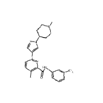 Cc1ccc(-c2cnn(C3CCN(C)CC3)c2)nc1C(=O)Nc1cccc(C(F)(F)F)c1